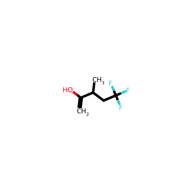 C=C(O)C(C)CC(F)(F)F